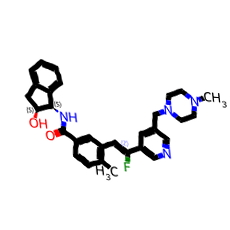 Cc1ccc(C(=O)N[C@H]2c3ccccc3C[C@@H]2O)cc1/C=C(\F)c1cncc(CN2CCN(C)CC2)c1